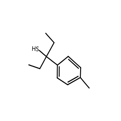 CCC(S)(CC)c1ccc(C)cc1